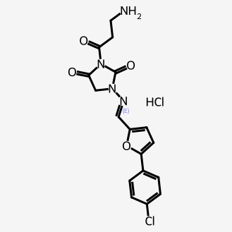 Cl.NCCC(=O)N1C(=O)CN(/N=C/c2ccc(-c3ccc(Cl)cc3)o2)C1=O